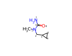 CN(CC1CC1)C(N)=O